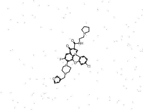 O=C(NCCN1CCCC1)c1cn2c3c(c(N4CCN(Cc5ccoc5)CC4)c(F)cc3c1=O)Oc1cc(Cl)ccc1-2